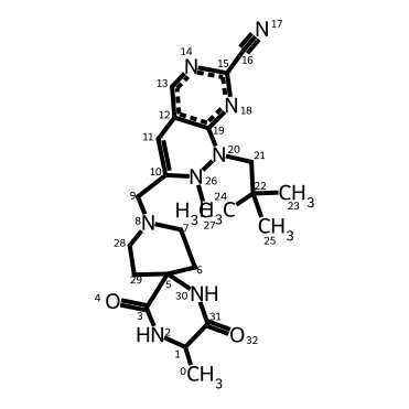 CC1NC(=O)C2(CCN(CC3=Cc4cnc(C#N)nc4N(CC(C)(C)C)N3C)CC2)NC1=O